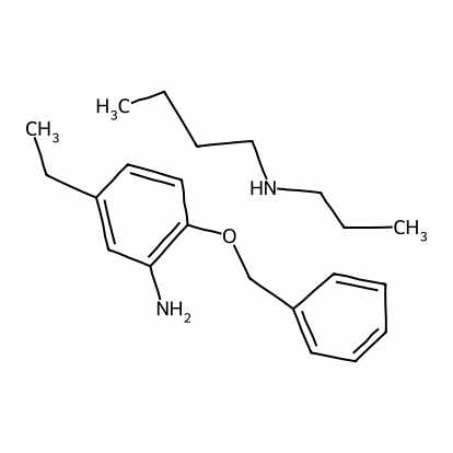 CCCCNCCC.CCc1ccc(OCc2ccccc2)c(N)c1